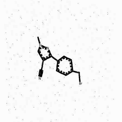 Cn1cc(C#N)c(-c2ccc(CBr)cc2)n1